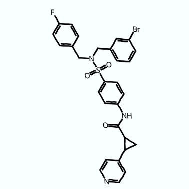 O=C(Nc1ccc(S(=O)(=O)N(Cc2ccc(F)cc2)Cc2cccc(Br)c2)cc1)C1CC1c1ccncc1